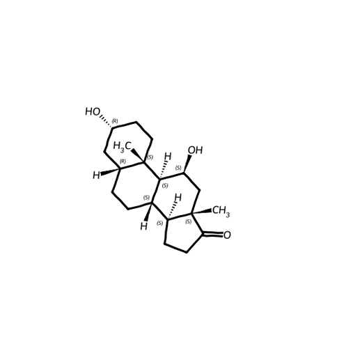 C[C@]12CC[C@@H](O)C[C@H]1CC[C@@H]1[C@@H]2[C@@H](O)C[C@]2(C)C(=O)CC[C@@H]12